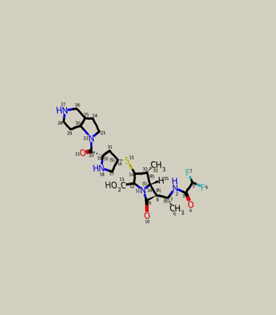 C[C@@H](NC(=O)C(F)F)[C@H]1C(=O)N2C(C(=O)O)C(S[C@@H]3CN[C@H](C(=O)N4CCC5CNCCC54)C3)[C@H](C)[C@H]12